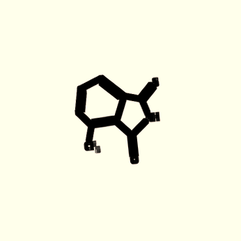 O=C1NC(=S)c2cccc(C(F)(F)F)c21